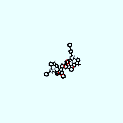 CC1(C)c2cccc(-c3nc(-c4ccc(-c5ccccc5)cc4)nc(-c4ccc(-c5ccc6c(c5)-c5ccccc5C65c6ccccc6Oc6c5ccc5oc7cccc(-c8nc(-c9ccccc9)nc(-c9ccc(-c%10ccccc%10)cc9)n8)c7c65)cc4)n3)c2-c2c1ccc1c2Oc2ccccc2C12c1ccccc1-c1ccccc12